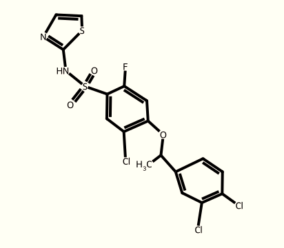 CC(Oc1cc(F)c(S(=O)(=O)Nc2nccs2)cc1Cl)c1ccc(Cl)c(Cl)c1